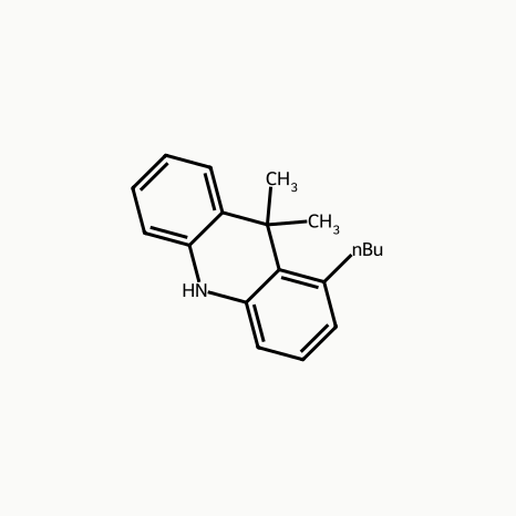 CCCCc1cccc2c1C(C)(C)c1ccccc1N2